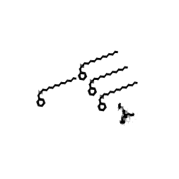 CC(=O)[O-].CCCCCCCCCCCC[N+](C)(C)Cc1ccccc1.CCCCCCCCCCCC[N+](C)(C)Cc1ccccc1.CCCCCCCCCCCC[N+](C)(C)Cc1ccccc1.CCCCCCCCCCCC[N+](C)(C)Cc1ccccc1.O=C([O-])CC(O)(CC(=O)[O-])C(=O)[O-]